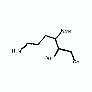 CNC(CCCN)C(C=O)CO